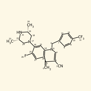 C=C1C(C#N)=CN(Cc2ccc(C(F)(F)F)cc2)c2cc(N3C[C@@H](C)N[C@@H](C)C3)c(F)cc21